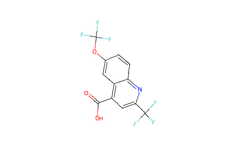 O=C(O)c1cc(C(F)(F)F)nc2ccc(OC(F)(F)F)cc12